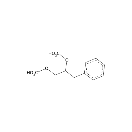 O=C(O)OCC(Cc1ccccc1)OC(=O)O